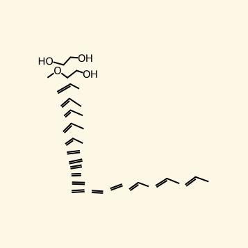 C=C.C=C.C=C.C=C.C=C.C=C.C=C.C=C.C=CC.C=CC.C=CC.C=CC.C=CC.C=CC.C=CC.C=CC.COCCO.OCCO